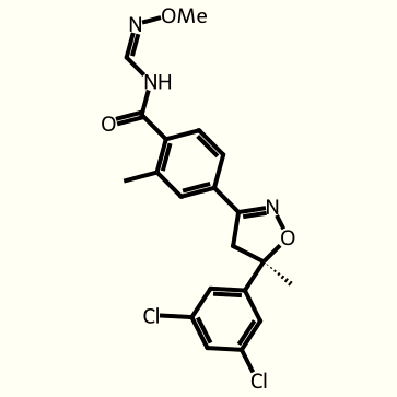 CO/N=C\NC(=O)c1ccc(C2=NO[C@@](C)(c3cc(Cl)cc(Cl)c3)C2)cc1C